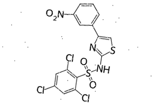 O=[N+]([O-])c1cccc(-c2csc(NS(=O)(=O)c3c(Cl)cc(Cl)cc3Cl)n2)c1